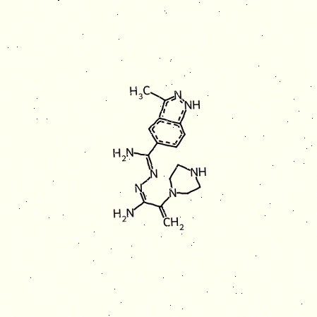 C=C(/C(N)=N\N=C(/N)c1ccc2[nH]nc(C)c2c1)N1CCNCC1